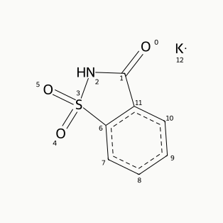 O=C1NS(=O)(=O)c2ccccc21.[K]